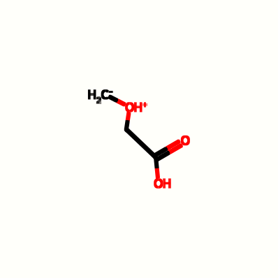 [CH2-][OH+]CC(=O)O